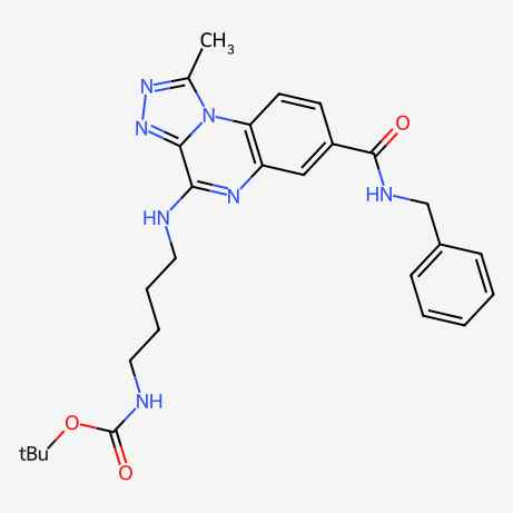 Cc1nnc2c(NCCCCNC(=O)OC(C)(C)C)nc3cc(C(=O)NCc4ccccc4)ccc3n12